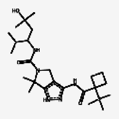 CC(C)C(CC(C)(C)O)NC(=O)N1Cc2c(NC(=O)C3(S(C)(C)C)CCC3)n[nH]c2C1(C)C